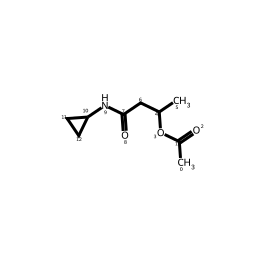 CC(=O)OC(C)CC(=O)NC1CC1